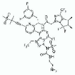 C[C@@H]1c2c(C(F)(F)F)nn(CC(=O)N[C@@H](Cc3cc(F)cc(F)c3)c3nc(C#CC(C)(C)S(C)(=O)=O)ccc3-c3ccc(Cl)c4c(N(C(=O)NCCN)S(C)(=O)=O)nn(CC(F)(F)F)c34)c2C(F)(F)[C@@H]1C